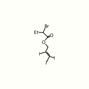 CCC(Br)C(=O)OCC(I)=C(I)I